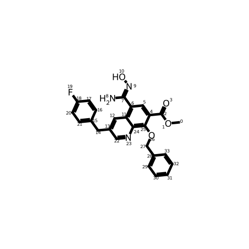 COC(=O)c1cc(/C(N)=N/O)c2cc(Cc3ccc(F)cc3)cnc2c1OCc1ccccc1